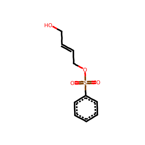 O=S(=O)(OCC=CCO)c1ccccc1